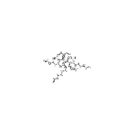 C=COC=C.C=COCCCCc1c(CCCCOC=C)c(C(=O)OCCC)c(C(=O)O)c(CCCCOC=C)c1C(=O)O